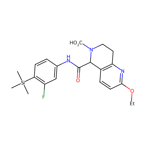 CCOc1ccc2c(n1)CCN(C(=O)O)C2C(=O)Nc1ccc([Si](C)(C)C)c(F)c1